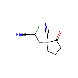 N#CC(Cl)CC1(C#N)CCCC1=O